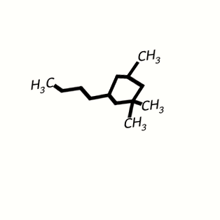 CCCCC1CC(C)CC(C)(C)C1